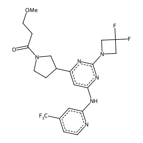 COCCC(=O)N1CCC(c2cc(Nc3cc(C(F)(F)F)ccn3)nc(N3CC(F)(F)C3)n2)C1